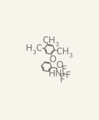 Cc1cc(C)c(Oc2ccccc2C(=O)NC(F)(F)F)cc1C